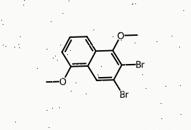 COc1cccc2c(OC)c(Br)c(Br)cc12